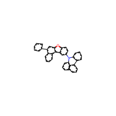 c1ccc(-c2ccccc2N(c2ccccc2)c2ccc3oc4cc(-c5ccccc5)c5ccccc5c4c3c2)cc1